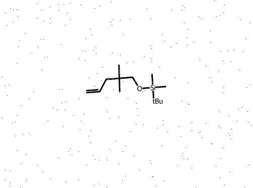 C=CCC(C)(C)CO[Si](C)(C)C(C)(C)C